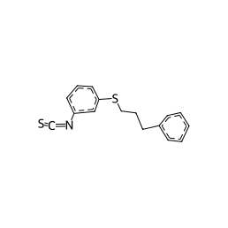 S=C=Nc1cccc(SCCCc2ccccc2)c1